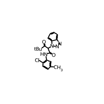 Cc1ccc(Cl)c(NC(=O)C(C(=O)C(C)(C)C)n2nnc3ccccc32)c1